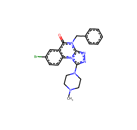 CN1CCN(c2nnc3n(Cc4ccccc4)c(=O)c4cc(Br)ccc4n23)CC1